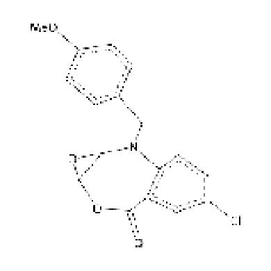 COc1ccc(CN2c3ccc(Cl)cc3C(=O)OC3OC32)cc1